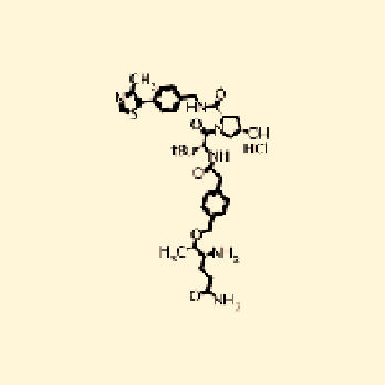 Cc1ncsc1-c1ccc(CNC(=O)[C@@H]2C[C@@H](O)CN2C(=O)[C@@H](NC(=O)Cc2ccc(CO[C@H](C)[C@@H](N)CCC(N)=O)cc2)C(C)(C)C)cc1.Cl